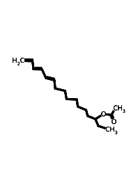 C=CC=CC=CCCCCCCCC(CC)OC(C)=O